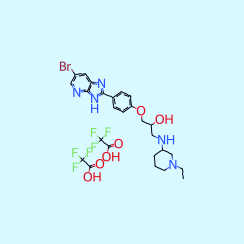 CCN1CCCC(NCC(O)COc2ccc(-c3nc4cc(Br)cnc4[nH]3)cc2)C1.O=C(O)C(F)(F)F.O=C(O)C(F)(F)F